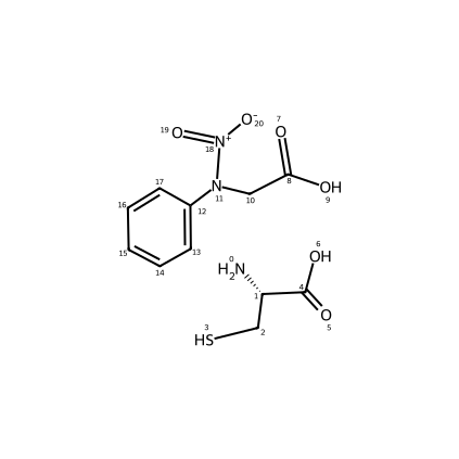 N[C@@H](CS)C(=O)O.O=C(O)CN(c1ccccc1)[N+](=O)[O-]